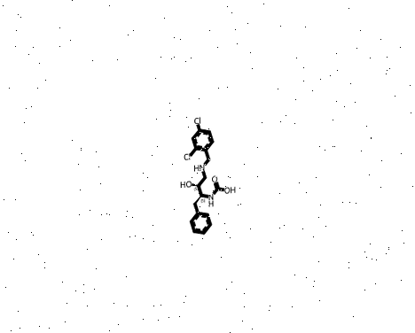 O=C(O)N[C@@H](Cc1ccccc1)[C@@H](O)CNCc1ccc(Cl)cc1Cl